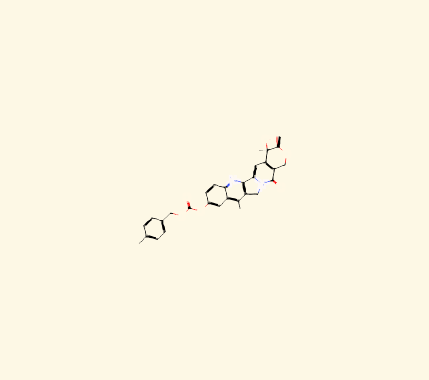 C=C1OCc2c(cc3n(c2=O)Cc2c-3nc3ccc(OC(=O)OCc4ccc(C)cc4)cc3c2CC)[C@@]1(O)CC